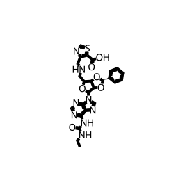 CCNC(=O)Nc1ncnc2c1ncn2C1OC(CNCc2ncsc2C(=O)O)C2O[C@H](c3ccccc3)OC21